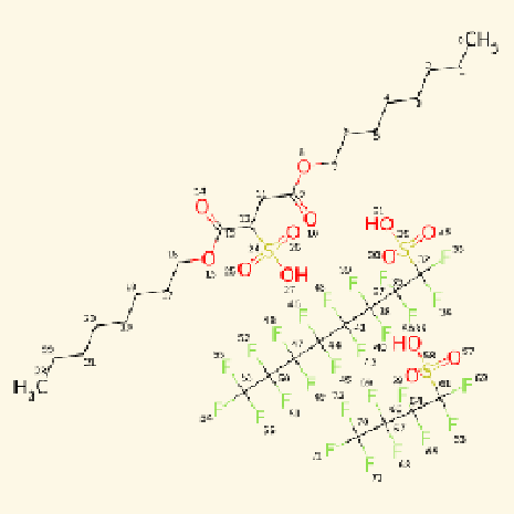 CCCCCCCCOC(=O)CC(C(=O)OCCCCCCCC)S(=O)(=O)O.O=S(=O)(O)C(F)(F)C(F)(F)C(F)(F)C(F)(F)C(F)(F)C(F)(F)C(F)(F)C(F)(F)F.O=S(=O)(O)C(F)(F)C(F)(F)C(F)(F)C(F)(F)F